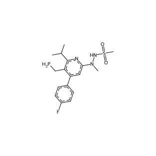 CC(C)c1nc(N(C)NS(C)(=O)=O)cc(-c2ccc(F)cc2)c1CP